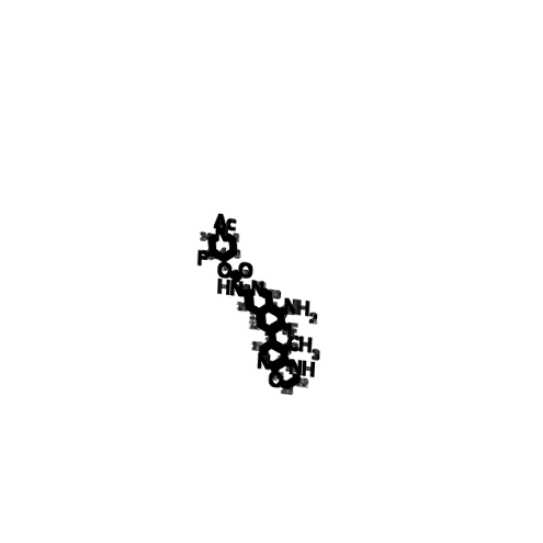 CC(=O)N1CC[C@H](OC(=O)Nc2cc3cc(-c4cnc5c(c4C)NCCO5)c(F)c(N)c3cn2)[C@H](F)C1